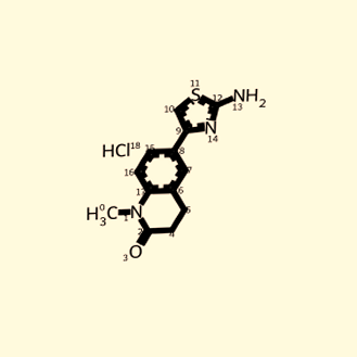 CN1C(=O)CCc2cc(-c3csc(N)n3)ccc21.Cl